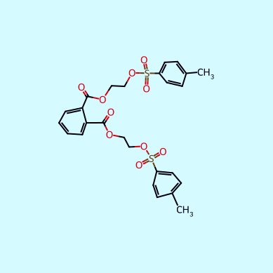 Cc1ccc(S(=O)(=O)OCCOC(=O)c2ccccc2C(=O)OCCOS(=O)(=O)c2ccc(C)cc2)cc1